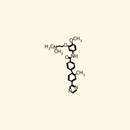 COc1ccc(NC(=O)c2ccc(-c3ccc(-c4cnccn4)cc3C)cc2)cc1OCCN(C)C